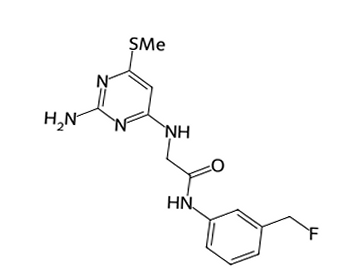 CSc1cc(NCC(=O)Nc2cccc(CF)c2)nc(N)n1